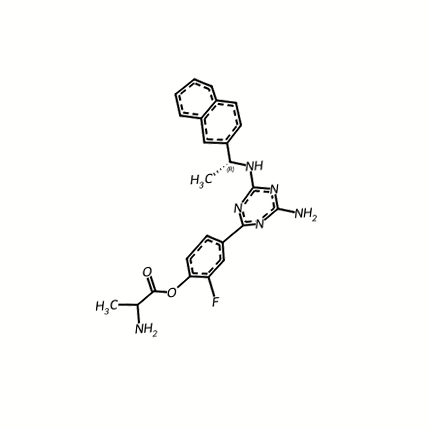 CC(N)C(=O)Oc1ccc(-c2nc(N)nc(N[C@H](C)c3ccc4ccccc4c3)n2)cc1F